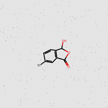 CCc1ccc2c(c1)C(=O)OC2O